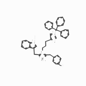 Fc1ccc(Cc2nnc(Cc3c[nH]c4ccccc34)n2CCCc2cn(C(c3ccccc3)(c3ccccc3)c3ccccc3)cn2)cc1